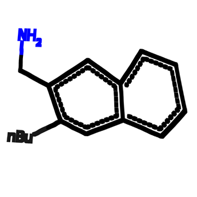 CCCCc1cc2ccccc2cc1CN